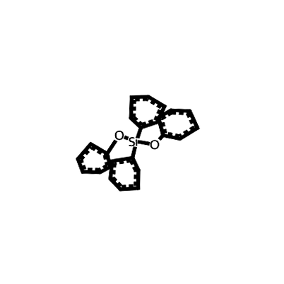 c1ccc(O[Si](Oc2ccccc2)(c2ccccc2)c2ccccc2)cc1